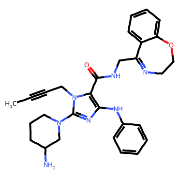 CC#CCn1c(N2CCCC(N)C2)nc(Nc2ccccc2)c1C(=O)NCC1=NCCOc2ccccc21